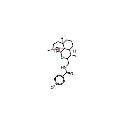 C[C@H]1[C@@H](CNC(=O)c2cc[n+]([O-])cc2)O[C@@H]2O[C@@]3(C)CC[C@H]4[C@H](C)CC[C@@H]1[C@@]24OO3